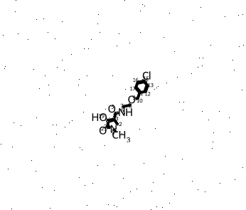 CN1CC(C(=O)NCCOCc2ccc(Cl)cc2)=C(O)C1=O